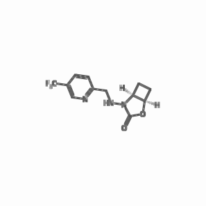 O=C1O[C@@H]2CC[C@@H]2N1NCc1ccc(C(F)(F)F)cn1